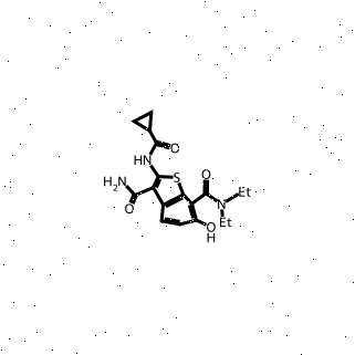 CCN(CC)C(=O)c1c(O)ccc2c(C(N)=O)c(NC(=O)C3CC3)sc12